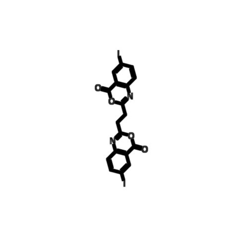 O=c1oc(CCc2nc3ccc(I)cc3c(=O)o2)nc2ccc(I)cc12